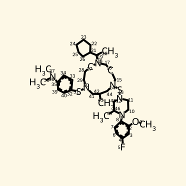 COc1cc(F)ccc1N1CCN(SN2CCCN(C(C)C3CCCCC3)CCCN(Sc3ccc(N(C)C)cc3)CC(C)C2)CC1C